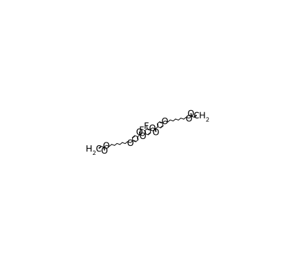 C=CC(=O)OCCCCCCCCOc1ccc(C(=O)Oc2ccc(OC(=O)c3ccc(OCCCCCCCCOC(=O)C=C)cc3)c(F)c2F)cc1